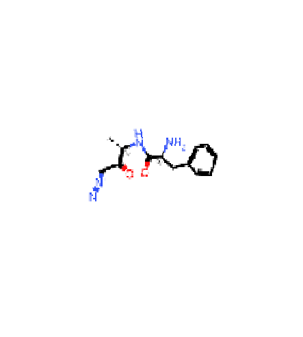 C[C@H](NC(=O)[C@@H](N)Cc1ccccc1)C(=O)C=[N+]=[N-]